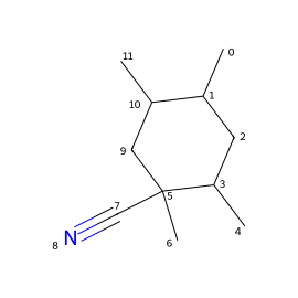 CC1CC(C)C(C)(C#N)CC1C